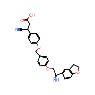 N#CC(CC(=O)O)c1ccc(OCc2ccc(OCC(=N)c3ccc4c(c3)CCO4)cc2)cc1